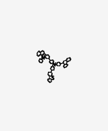 c1ccc(-n2c3cc(-c4ccc(N(c5ccc(-c6ccc7c(c6)sc6ccccc67)cc5)c5ccc(-c6cc7ccccc7c7ccccc67)cc5)cc4)ccc3c3ccc4ccccc4c32)cc1